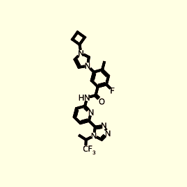 Cc1cc(F)c(C(=O)Nc2cccc(-c3nncn3C(C)C(F)(F)F)n2)cc1N1C=CN(C2CCC2)C1